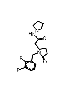 O=C(CC1CCC(=O)N1Cc1cccc(F)c1F)NN1CCCC1